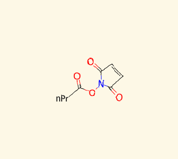 CCCC(=O)ON1C(=O)C=CC1=O